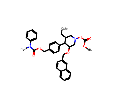 COCC1CN(OC(=O)OC(C)(C)C)CC(OCc2ccc3ccccc3c2)C1c1ccc(COC(=O)N(C)c2ccccc2)cc1